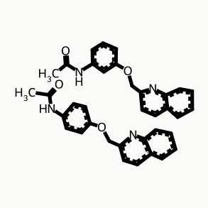 CC(=O)Nc1ccc(OCc2ccc3ccccc3n2)cc1.CC(=O)Nc1cccc(OCc2ccc3ccccc3n2)c1